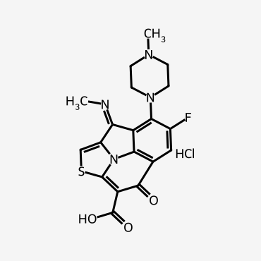 CN=c1c2c(N3CCN(C)CC3)c(F)cc3c(=O)c(C(=O)O)c4scc1n4c32.Cl